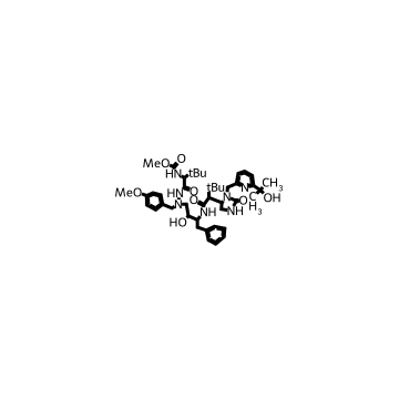 COC(=O)NC(C(=O)NN(Cc1ccc(OC)cc1)CC(O)C(Cc1ccccc1)NC(=O)C(C1CNC(=O)N1Cc1cccc(C(C)(C)O)n1)C(C)(C)C)C(C)(C)C